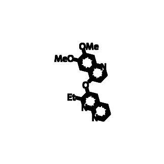 CCc1nc2ncccc2cc1Oc1ccnc2cc(OC)c(OC)cc12